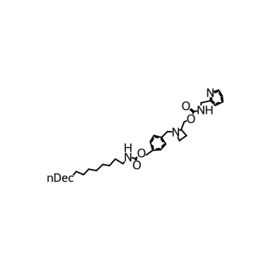 CCCCCCCCCCCCCCCCCCNC(=O)OCc1ccc(CN2CCC2COC(=O)NCc2ccccn2)cc1